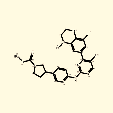 CC(C)N1CCOc2c(F)cc(-c3nc(Nc4ccc(C5CCN(C(=O)OC(C)(C)C)C5)cn4)ncc3F)cc21